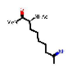 CNC(=O)[C@H](CCCCCC(C)=N)NC(C)=O